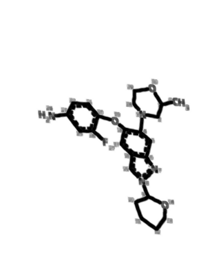 CC1CN(c2cc3nn(C4CCCCO4)cc3cc2Oc2ccc(N)cc2F)CCO1